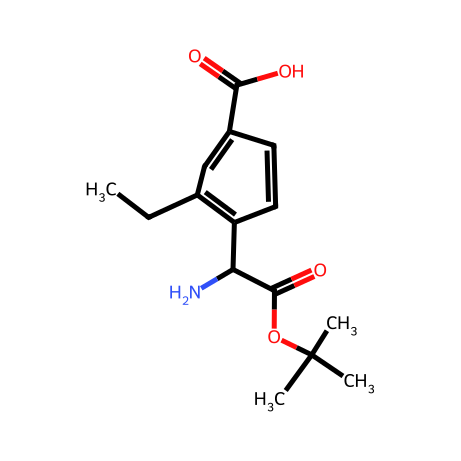 CCc1cc(C(=O)O)ccc1C(N)C(=O)OC(C)(C)C